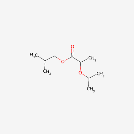 CC(C)COC(=O)C(C)OC(C)C